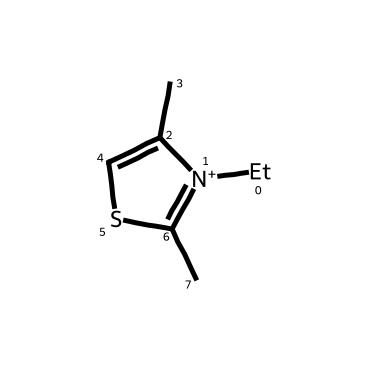 CC[n+]1c(C)csc1C